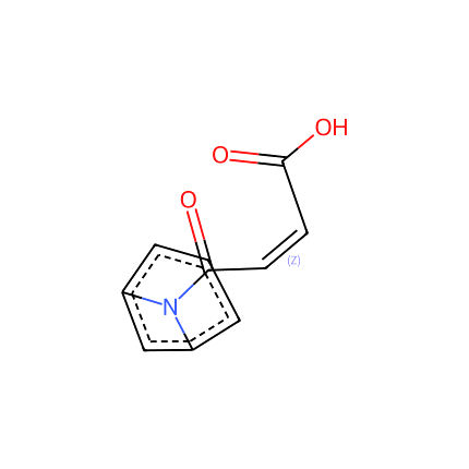 O=C(O)/C=C\C(=O)N1c2cccc1c2